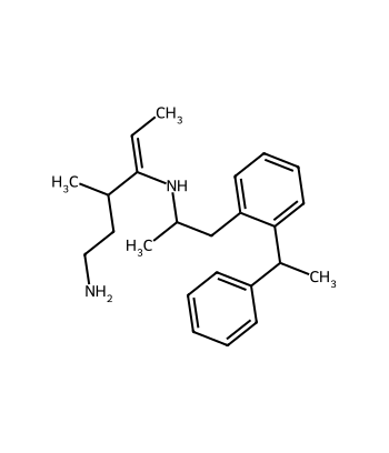 C/C=C(\NC(C)Cc1ccccc1C(C)c1ccccc1)C(C)CCN